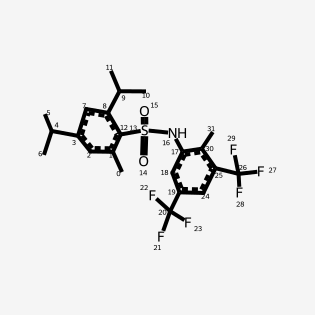 Cc1cc(C(C)C)cc(C(C)C)c1S(=O)(=O)Nc1cc(C(F)(F)F)cc(C(F)(F)F)c1C